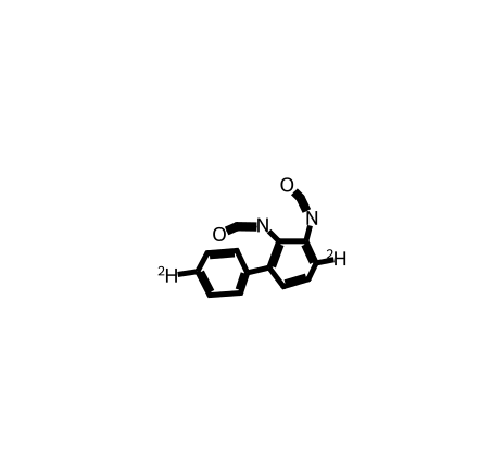 [2H]c1ccc(-c2ccc([2H])c(N=C=O)c2N=C=O)cc1